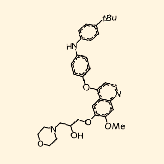 COc1cc2nccc(Oc3ccc(Nc4ccc(C(C)(C)C)cc4)cc3)c2cc1OCC(O)CN1CCOCC1